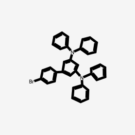 Brc1ccc(-c2cc(N(c3ccccc3)c3ccccc3)cc(N(c3ccccc3)c3ccccc3)c2)cc1